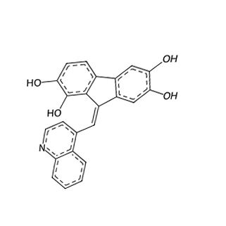 Oc1cc2c(cc1O)-c1ccc(O)c(O)c1C2=Cc1ccnc2ccccc12